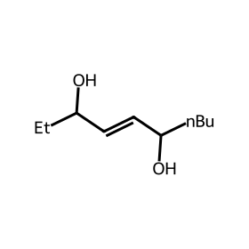 CCCCC(O)C=CC(O)CC